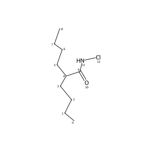 CCCCC(CCCC)C(=O)NCl